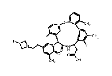 Cc1cc2cc(c1F)C(CC(=O)O)NC(=O)C(n1cc(CCN3CC(F)C3)cc(C)c1=O)c1cc(ccc1F)Oc1cccc(C)c1-2